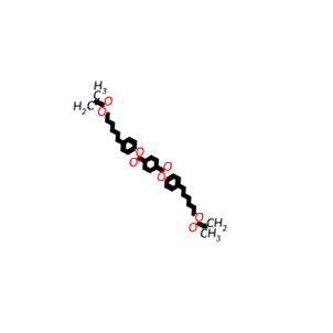 C=C(C)C(=O)OCCCCCCc1ccc(OC(=O)C2CCC(C(=O)Oc3ccc(CCCCCCOC(=O)C(=C)C)cc3)CC2)cc1